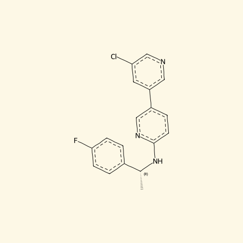 C[C@@H](Nc1ccc(-c2cncc(Cl)c2)cn1)c1ccc(F)cc1